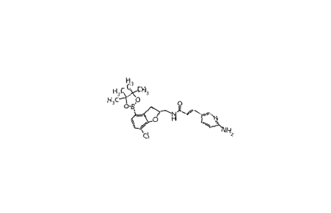 CC1(C)OB(c2ccc(Cl)c3c2CC(CNC(=O)C=Cc2ccc(N)nc2)O3)OC1(C)C